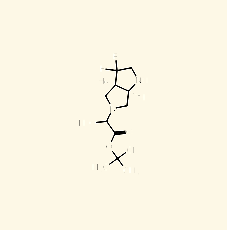 CC(C(=O)OC(C)(C)C)N1C[C@@H]2NCC(F)(F)[C@@H]2C1